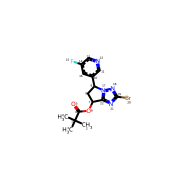 CC(C)(C)C(=O)OC1CC(c2cncc(F)c2)n2nc(Br)nc21